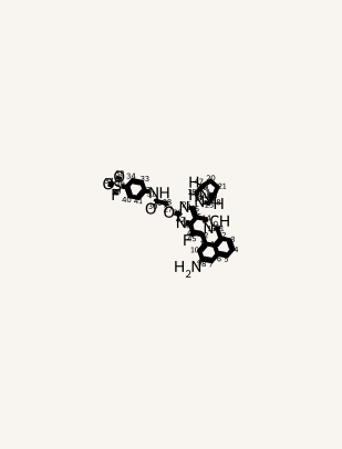 C#Cc1cccc2cc(N)cc(-c3ncc4c(N5C[C@H]6CC[C@@H](C5)N6)nc(OCC(=O)Nc5ccc(S(=O)(=O)F)cc5)nc4c3F)c12